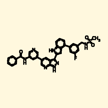 CS(=O)(=O)NCc1cc(F)cc(-c2cccc3[nH]c(-c4n[nH]c5ncc(-c6cncc(NC(=O)c7ccccc7)c6)cc45)cc23)c1